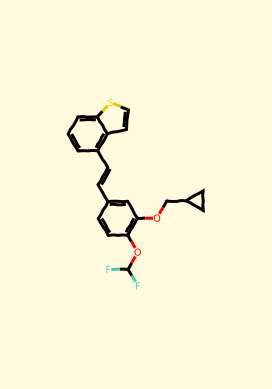 FC(F)Oc1ccc(/C=C/c2cccc3sccc23)cc1OCC1CC1